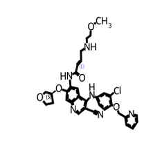 COCCNC/C=C/C(=O)Nc1cc2c(Nc3ccc(OCc4ccccn4)c(Cl)c3)c(C#N)cnc2cc1O[C@H]1CCOC1